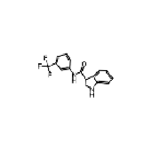 O=C(Nc1cccc(C(F)(F)F)c1)C1CNc2ccccc21